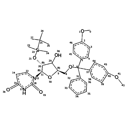 COc1ccc(C(OC[C@H]2O[C@@H](n3ccc(=O)[nH]c3=O)[C@H](O[Si](C)(C)C(C)(C)C)[C]2O)(c2ccccc2)c2ccc(OC)cc2)cc1